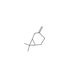 C=C1CCC2C(C1)C2(C)C